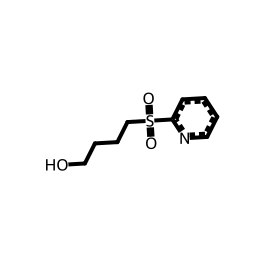 O=S(=O)(CCCCO)c1ccccn1